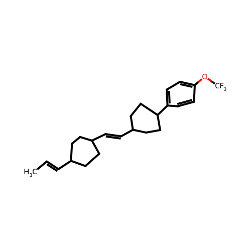 C/C=C/C1CCC(/C=C/C2CCC(c3ccc(OC(F)(F)F)cc3)CC2)CC1